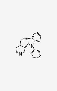 c1ccc(-n2c3ccccc3c3ccc4ccncc4c32)cc1